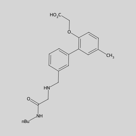 CCCCNC(=O)CNCc1cccc(-c2cc(C)ccc2OCC(=O)O)c1